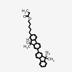 C=CC(=O)OCCCCCc1ccc2c(c1)C(C)(C)c1cc(-c3ccc4c(c3)C(C)(C)c3ccccc3-4)ccc1-2